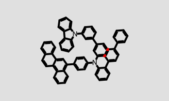 c1ccc(-c2ccc(-c3ccccc3N(c3ccc(-c4cc5c6ccccc6ccc5c5ccccc45)cc3)c3cccc(-c4cccc(-n5c6ccccc6c6ccccc65)c4)c3)cc2)cc1